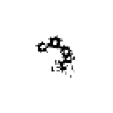 CC(C)(C#N)C(=O)c1c[nH]c2ncc(-c3cccc(N4CCCC4)c3)nc12